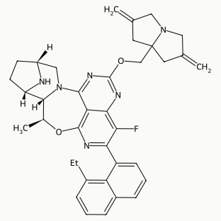 C=C1CN2CC(=C)CC2(COc2nc3c4c(nc(-c5cccc6cccc(CC)c56)c(F)c4n2)O[C@@H](C)[C@@H]2[C@@H]4CC[C@H](CN32)N4)C1